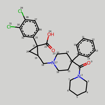 O=C(N1CCCCC1)C1(c2ccccc2)CCN(CC2CC2(C(=O)O)c2ccc(Cl)c(Cl)c2)CC1